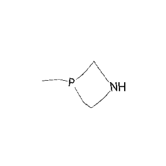 CP1CNC1